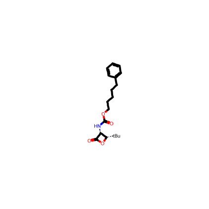 CC(C)(C)[C@@H]1OC(=O)[C@@H]1NC(=O)OCCCCCc1ccccc1